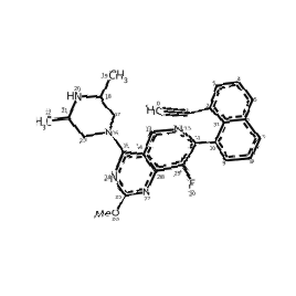 C#Cc1cccc2cccc(-c3ncc4c(N5CC(C)NC(C)C5)nc(OC)nc4c3F)c12